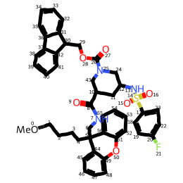 COCCCCC1(CNC(=O)C2CC(NS(=O)(=O)c3ccc(F)cc3)CN(C(=O)OCC3c4ccccc4-c4ccccc43)C2)c2ccccc2Oc2ccccc21